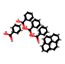 O=C(O)c1ccccc1.O=C(O)c1ccccc1.O=C(O)c1ccccc1.O=C(O)c1ccccc1.c1cc2ccc3cccc4ccc(c1)c2c34